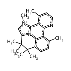 Cc1ccc2c3c1c1nccc(C)c1c1n3c(c[n+]1C)C(C)(C)C2(C)C